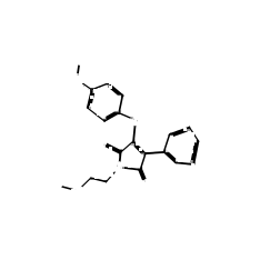 COc1ccc(NC2=C(c3ccccc3)C(=O)N(CCSC)C2=O)cc1